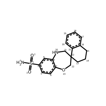 NS(=O)(=O)c1ccc2c(c1)NCC1(CCCc3ccccc31)CO2